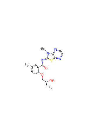 CCCCn1/c(=N/C(=O)c2cc(C(F)(F)F)ccc2OC[C@H](C)O)sc2nccnc21